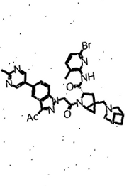 CC(=O)c1nn(CC(=O)N2C3CC3(CN3CC4CC(C4)C3)C[C@H]2C(=O)Nc2nc(Br)ccc2C)c2ccc(-c3cnc(C)nc3)cc12